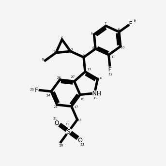 CC1CC1C(c1ccc(F)cc1F)c1c[nH]c2c(CS(C)(=O)=O)cc(F)cc12